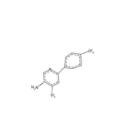 Nc1cnc(-c2ccc(C(F)(F)F)cc2)cc1C(F)(F)F